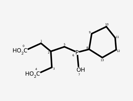 O=C(O)CC(CC(=O)O)CP(O)C1CCCCC1